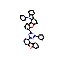 c1ccc(-c2nc(-c3cccc4c3oc3ccc5c6ccccc6n(-c6ccccc6)c5c34)nc(-c3cccc4oc5ccccc5c34)n2)cc1